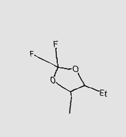 CCC1OC(F)(F)OC1C